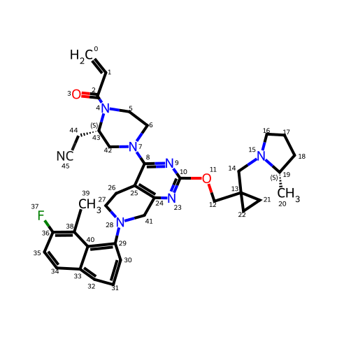 C=CC(=O)N1CCN(c2nc(OCC3(CN4CCC[C@@H]4C)CC3)nc3c2CCN(c2cccc4ccc(F)c(C)c24)C3)C[C@@H]1CC#N